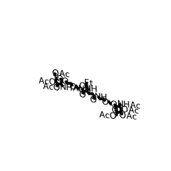 CCC(=O)NC(CCC(=O)NCCOCCOC1OC(COC(C)=O)C(OC(C)=O)C(OC(C)=O)C1NC(C)=O)C(=O)NCCOCCOC1O[C@H](COC(C)=O)C(OC(C)=O)C(OC(C)=O)C1NC(C)=O